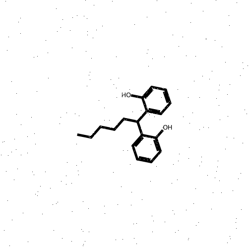 CCCCCC(c1ccccc1O)c1ccccc1O